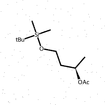 CC(=O)O[C@H](C)CCO[Si](C)(C)C(C)(C)C